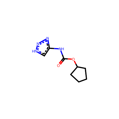 O=C(Nc1c[nH]nn1)OC1CCCC1